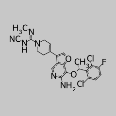 C/N=C(\NC#N)N1CC=C(c2coc3c(O[C@H](C)c4c(Cl)ccc(F)c4Cl)c(N)ncc23)CC1